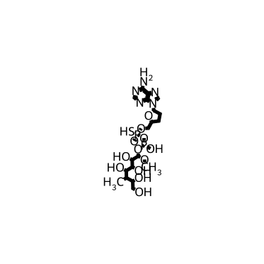 COC(OP(O)OP(=O)(S)OCC1CCC(n2cnc3c(N)ncnc32)O1)C(O)C(O)C(O)C(C)C(O)CO